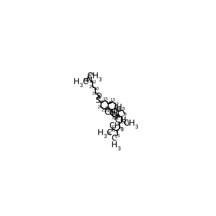 CCC(CC[C@@H](C)[C@H]1CCC2[C@@H]3CC=C4CC(SSCCCCN(C)C)CC[C@]4(C)[C@H]3CC[C@@]21C)C(C)C